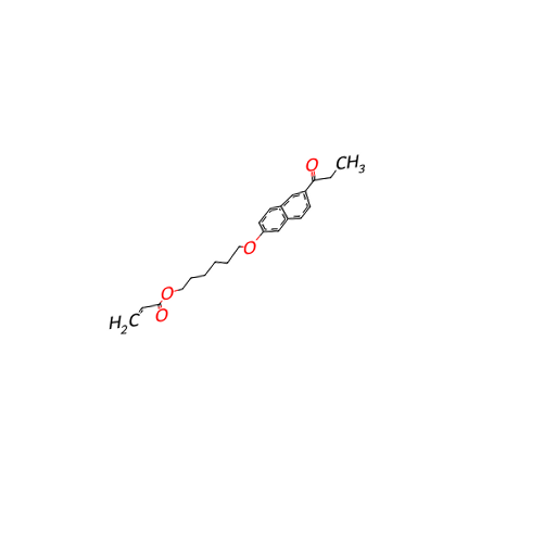 C=CC(=O)OCCCCCCOc1ccc2cc(C(=O)CC)ccc2c1